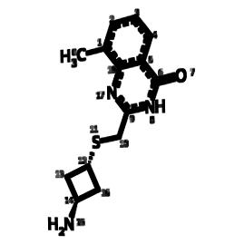 Cc1cccc2c(=O)[nH]c(CS[C@H]3C[C@H](N)C3)nc12